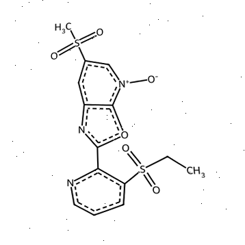 CCS(=O)(=O)c1cccnc1-c1nc2cc(S(C)(=O)=O)c[n+]([O-])c2o1